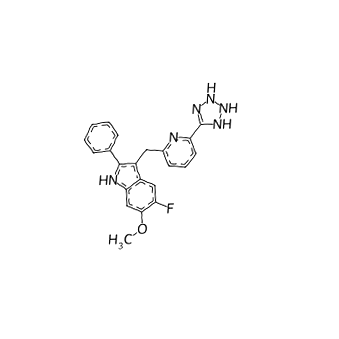 COc1cc2[nH]c(-c3ccccc3)c(Cc3cccc(C4=NNNN4)n3)c2cc1F